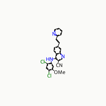 COc1cc(Nc2c(C#N)cnc3cc(/C=C/c4ccccn4)ccc23)c(Cl)cc1Cl